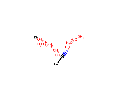 N#[C][Fe].O.O.O.O.O.O.O.O.O.O.[KH]